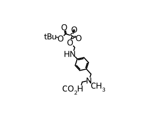 CN(CC(=O)O)Cc1ccc(NCOS(=O)(=O)C(=O)OC(C)(C)C)cc1